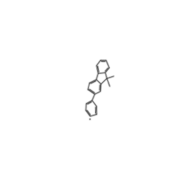 CC1(C)c2ccccc2-c2ccc(-c3cc[c]cc3)cc21